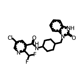 O=C(NC1CCC(Cn2c(=O)[nH]c3ccccc32)CC1)c1cc(Cl)cnc1C(F)F